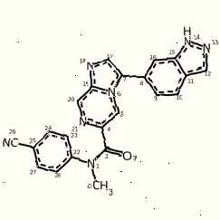 CN(C(=O)c1cn2c(-c3ccc4cn[nH]c4c3)cnc2cn1)c1ccc(C#N)cc1